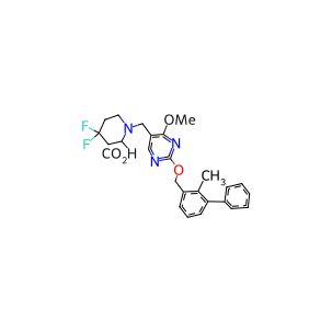 COc1nc(OCc2cccc(-c3ccccc3)c2C)ncc1CN1CCC(F)(F)CC1C(=O)O